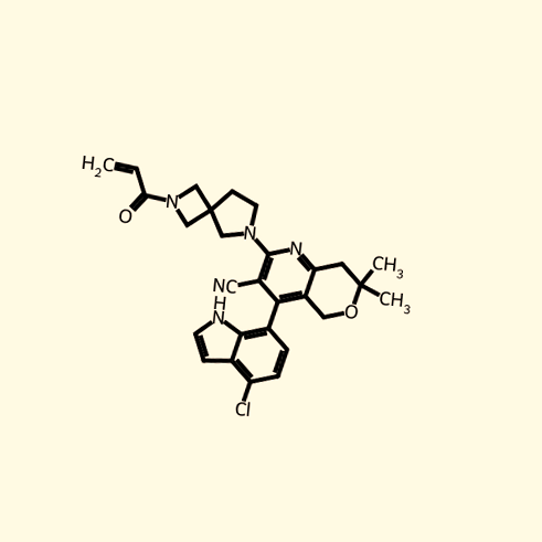 C=CC(=O)N1CC2(CCN(c3nc4c(c(-c5ccc(Cl)c6cc[nH]c56)c3C#N)COC(C)(C)C4)C2)C1